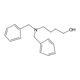 OCCCCN(Cc1ccccc1)Cc1ccccc1